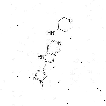 Cn1cc(-c2cc3cnc(NC4CCOCC4)cc3[nH]2)cn1